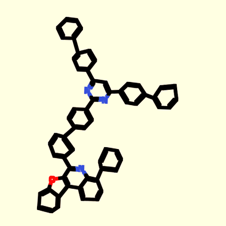 c1ccc(-c2ccc(-c3cc(-c4ccc(-c5ccccc5)cc4)nc(-c4ccc(-c5cccc(-c6nc7c(-c8ccccc8)cccc7c7c6oc6ccccc67)c5)cc4)n3)cc2)cc1